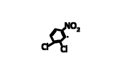 O=[N+]([O-])c1[c]c(Cl)c(Cl)cc1